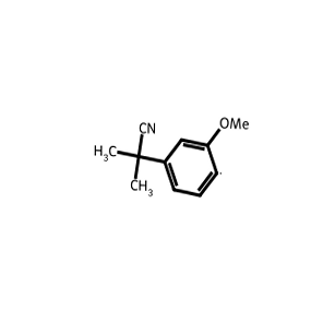 COc1[c]ccc(C(C)(C)C#N)c1